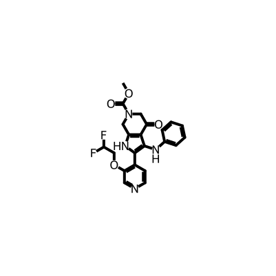 COC(=O)N1CC(=O)c2c([nH]c(-c3ccncc3OCC(F)F)c2Nc2ccccc2)C1